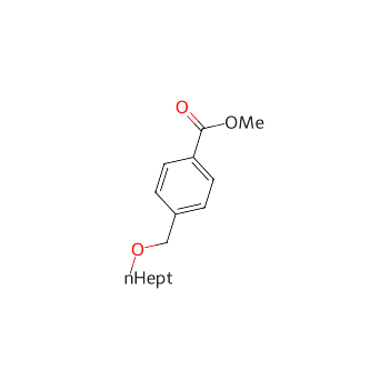 CCCCCCCOCc1ccc(C(=O)OC)cc1